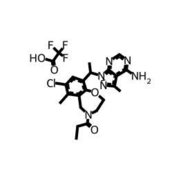 CCC(=O)N1CCOc2c(C(C)n3nc(C)c4c(N)ncnc43)cc(Cl)c(C)c2C1.O=C(O)C(F)(F)F